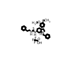 COc1ccc([C@@]23CC[C@@H](NC(=S)NCCc4ccccc4)C[C@@H]2N(Cc2ccccc2)CC3)cc1OC.O=C(O)C(F)(F)F